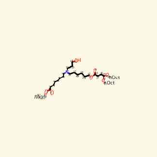 CCCCCCCCCOC(=O)CCCCCCCN(CCCO)CCCCCCOC(=O)CCC(OCCCCCCCC)OCCCCCCCC